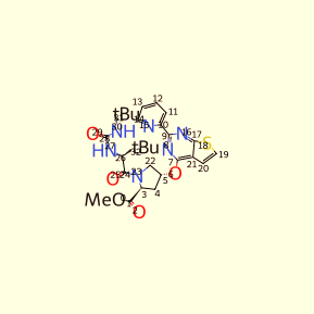 COC(=O)[C@@H]1C[C@@H](Oc2nc(-c3ccccn3)nc3sccc23)CN1C(=O)[C@@H](NC(=O)NC(C)(C)C)C(C)(C)C